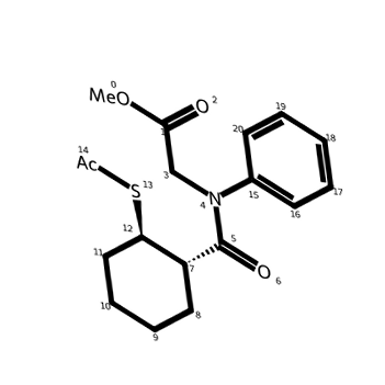 COC(=O)CN(C(=O)[C@@H]1CCCC[C@H]1SC(C)=O)c1ccccc1